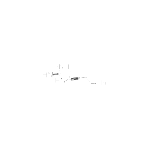 CC(C)(C)CCC#CNC(=N)N